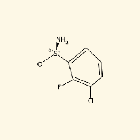 N[S@+]([O-])c1cccc(Cl)c1F